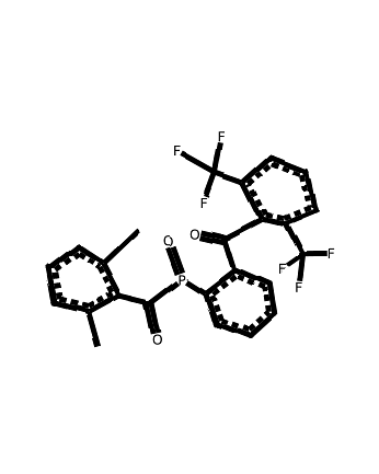 Cc1cccc(C)c1C(=O)[P](=O)c1ccccc1C(=O)c1c(C(F)(F)F)cccc1C(F)(F)F